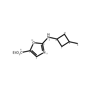 CCOC(=O)c1cnc(NC2CC(C)C2)o1